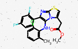 COC(=O)Cc1csc2nc(-c3ccc(F)cc3F)c(Nc3c(C)cccc3Cl)n12